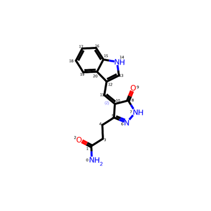 NC(=O)CCC1=NNC(=O)/C1=C\c1c[nH]c2ccccc12